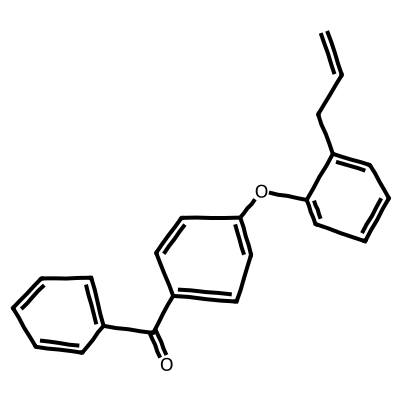 C=CCc1ccccc1Oc1ccc(C(=O)c2ccccc2)cc1